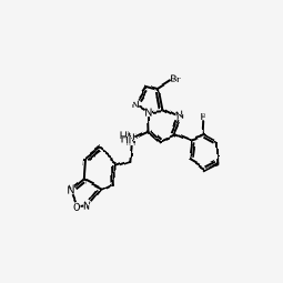 Fc1ccccc1-c1cc(NCc2ccc3nonc3c2)n2ncc(Br)c2n1